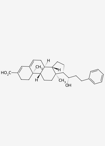 C[C@]12CC[C@H]3[C@@H](CC=C4C=C(C(=O)O)CC[C@@]43C)[C@@H]1CC[C@@H]2[C@@H](O)CCc1ccccc1